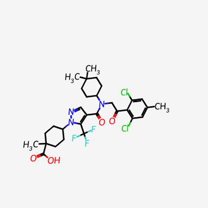 Cc1cc(Cl)c(C(=O)CN(C(=O)c2cnn(C3CCC(C)(C(=O)O)CC3)c2C(F)(F)F)C2CCC(C)(C)CC2)c(Cl)c1